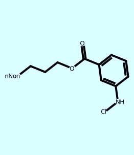 CCCCCCCCCCCCOC(=O)c1cccc(NCl)c1